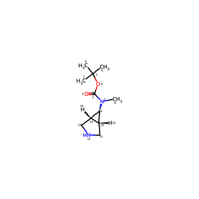 CN(C(=O)OC(C)(C)C)[C@H]1[C@@H]2CNC[C@@H]21